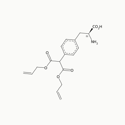 C=CCOC(=O)C(C(=O)OCC=C)c1ccc(C[C@H](N)C(=O)O)cc1